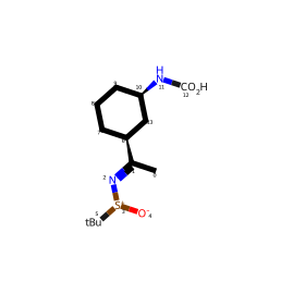 C/C(=N\[S+]([O-])C(C)(C)C)[C@H]1CCC[C@@H](NC(=O)O)C1